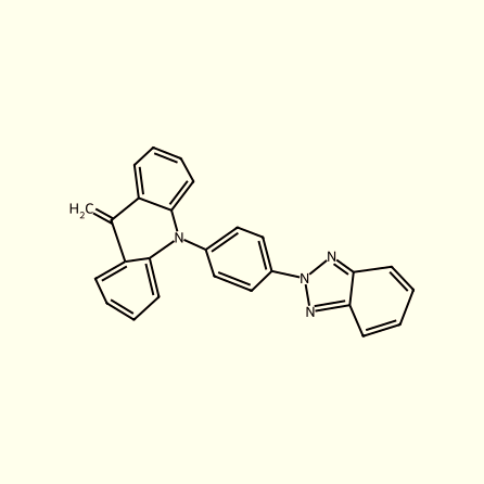 C=C1c2ccccc2N(c2ccc(-n3nc4ccccc4n3)cc2)c2ccccc21